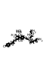 CC(NC(=O)CN)C(=O)O[C@H](COC(=O)[C@H](C)NC(=O)CN)COc1ccc(-c2c(C#N)c(N)nc(SCc3coc(-c4ccc(Cl)cc4)n3)c2C#N)cc1.Cl.Cl